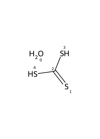 O.S=C(S)S